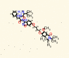 COc1cc(C(=O)N(C(C)C)C(C)C)ccc1OCCCCOc1ccc2c(NC(=O)C(Cc3ccccc3)NC(=O)C(N)C(C)C)noc2c1